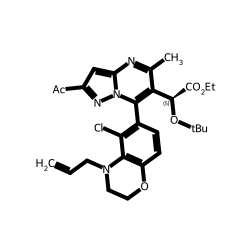 C=CCN1CCOc2ccc(-c3c([C@H](OC(C)(C)C)C(=O)OCC)c(C)nc4cc(C(C)=O)nn34)c(Cl)c21